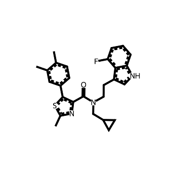 Cc1nc(C(=O)N(CCc2c[nH]c3cccc(F)c23)CC2CC2)c(-c2ccc(C)c(C)c2)s1